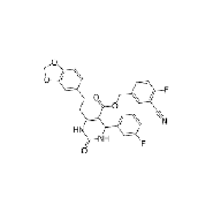 N#Cc1cc(COC(=O)C2=C(CCc3ccc4c(c3)OCO4)NC(=O)NC2c2cccc(F)c2)ccc1F